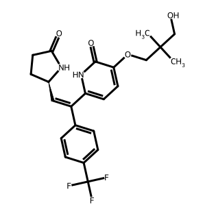 CC(C)(CO)COc1ccc(/C(=C\[C@H]2CCC(=O)N2)c2ccc(C(F)(F)F)cc2)[nH]c1=O